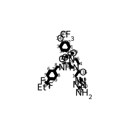 CCC(F)(F)c1ccc(CNC(=O)[C@H]2CN(C(=O)Cn3nnc(N)n3)CCN2S(=O)(=O)c2ccc(OC(F)(F)F)cc2)cc1